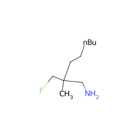 CCCCCCC(C)(CN)CF